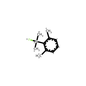 Cc1cccc(C)c1[Si](C)(C)F